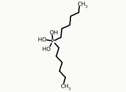 CCCCCCP(O)(O)(O)CCCCCC